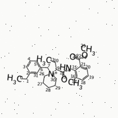 CCc1cccc(C[N+]2(C(CC)C(=O)Nc3c(C)cccc3C(=O)OC)CCCCC2)c1